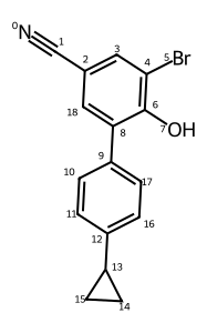 N#Cc1cc(Br)c(O)c(-c2ccc(C3CC3)cc2)c1